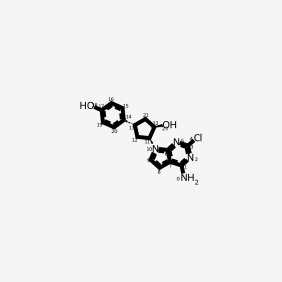 Nc1nc(Cl)nc2c1ccn2[C@@H]1C[C@H](c2ccc(O)cc2)C[C@H]1O